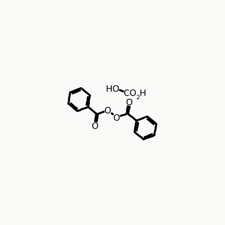 O=C(O)O.O=C(OOC(=O)c1ccccc1)c1ccccc1